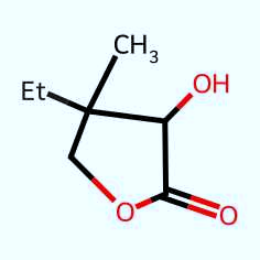 CCC1(C)COC(=O)C1O